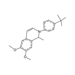 COc1cc2c(cc1OC)C(C)N(c1ccc(C(C)(C)C)cc1)C=C2